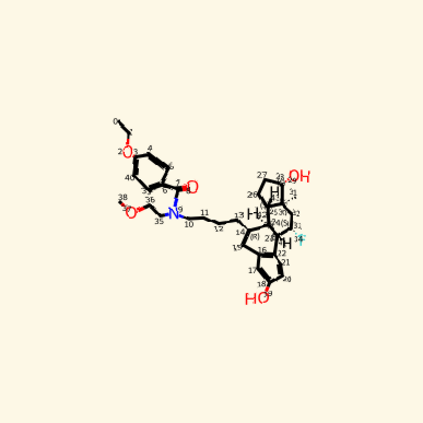 CCOc1ccc(C(=O)N(CCCC[C@@H]2Cc3cc(O)ccc3[C@@H]3[C@@H]2[C@@H]2CC[C@H](O)[C@@]2(C)C[C@@H]3F)CCOC)cc1